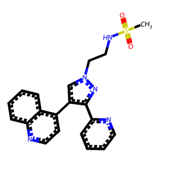 CS(=O)(=O)NCCn1cc(-c2ccnc3ccccc23)c(-c2ccccn2)n1